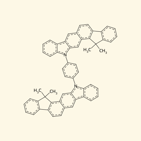 CC1(C)c2ccccc2-c2ccc3cc4c5ccccc5n(-c5ccc(-n6c7ccccc7c7cc8ccc9c(c8cc76)C(C)(C)c6ccccc6-9)cc5)c4cc3c21